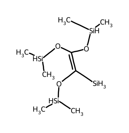 C[SiH](C)OC([SiH3])=C(O[SiH](C)C)O[SiH](C)C